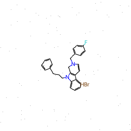 Br.Fc1ccc(CN2C=Cc3c(n(CCCc4ccccc4)c4ccccc34)C2)cc1